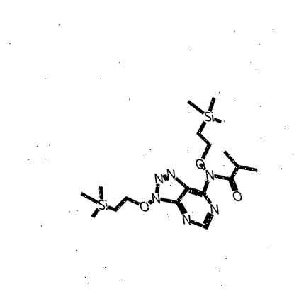 CC(C)C(=O)N(OCC[Si](C)(C)C)c1ncnc2c1nnn2OCC[Si](C)(C)C